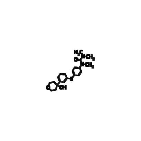 CN(C)C(=O)N(C)c1ccc(Sc2cccc(C3(O)CCOCC3)c2)cc1